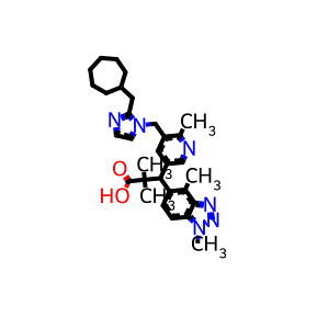 Cc1ncc(C(c2ccc3c(nnn3C)c2C)C(C)(C)C(=O)O)cc1Cn1ccnc1CC1CCCCCC1